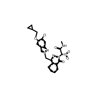 CNC(=O)C(n1nc(Cn2cc3cc(OCC4CC4)c(Cl)cc3n2)c2ccccc2c1=O)[SH](=O)=O